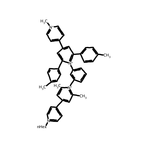 CCCCCC[n+]1ccc(-c2cc(C)[n+](-c3cccc(-[n+]4c(-c5ccc(C)cc5)cc(-c5cc[n+](C)cc5)cc4-c4ccc(C)cc4)c3)c(C)c2)cc1